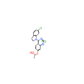 CC(O)Oc1ccc2c(N3CCc4ccc(Cl)cc43)ncnc2c1.Cl